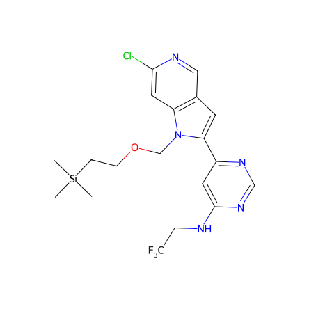 C[Si](C)(C)CCOCn1c(-c2cc(NCC(F)(F)F)ncn2)cc2cnc(Cl)cc21